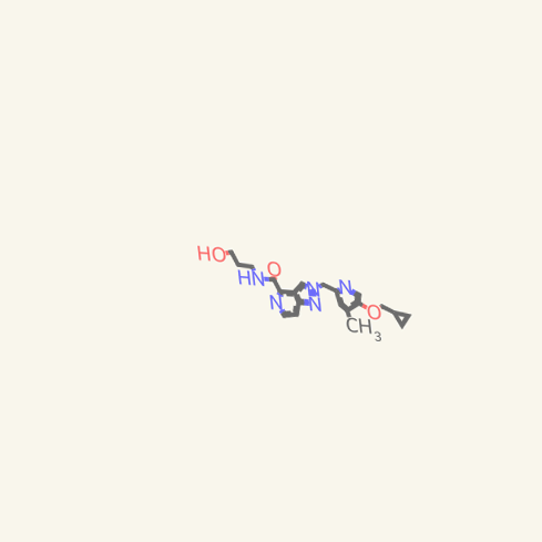 Cc1cc(Cn2cc3c(C(=O)NCCCO)nccc3n2)ncc1OCC1CC1